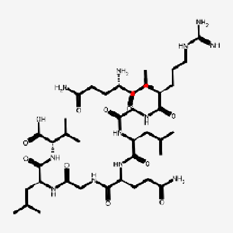 CC(C)C[C@H](NC(=O)CNC(=O)[C@H](CCC(N)=O)NC(=O)[C@H](CC(C)C)NC(=O)[C@H](CC(C)C)NC(=O)[C@H](CCCNC(=N)N)NC(=O)[C@@H](N)CCC(N)=O)C(=O)N[C@H](C(=O)O)C(C)C